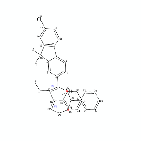 CCC1=C(\c2ccc3c(c2)C(C)(C)c2cc(Cl)ccc2-3)NC(c2ccccc2)CC\C=C\1c1ccccc1